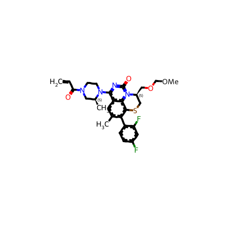 C=CC(=O)N1CCN(c2nc(=O)n3c4c(c(-c5ccc(F)cc5F)c(C)cc24)SC[C@@H]3COCOC)[C@@H](C)C1